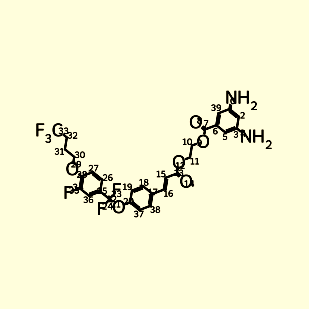 Nc1cc(N)cc(C(=O)OCCOC(=O)C=Cc2ccc(OC(F)(F)c3ccc(OCCCC(F)(F)F)c(F)c3)cc2)c1